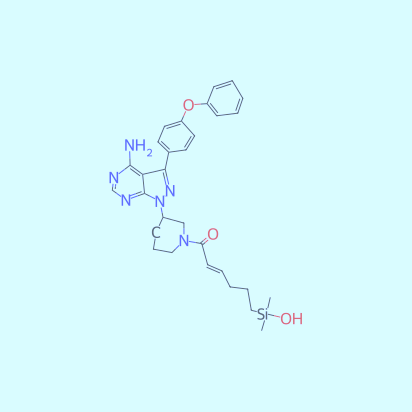 C[Si](C)(O)CCC/C=C/C(=O)N1CCCC(n2nc(-c3ccc(Oc4ccccc4)cc3)c3c(N)ncnc32)C1